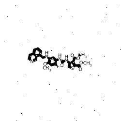 COC(=O)c1scc(NC(=O)Nc2cc(NCc3cccc4ccncc34)c(OC)cc2F)c1C(=O)OC